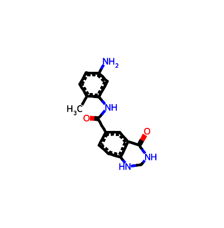 Cc1ccc(N)cc1NC(=O)c1ccc2c(c1)C(=O)NCN2